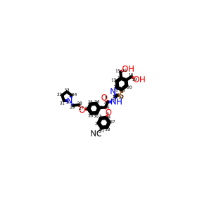 N#Cc1ccc(OC(C(=O)Nc2nc3cc(CO)c(CO)cc3s2)c2ccc(OCCN3CCCC3)cc2)cc1